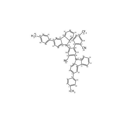 Cc1ccc(-c2ccc3c(c2)c2ccccc2n3-c2cc(-c3ccc(C(F)(F)F)cc3C#N)c(-n3c4ccccc4c4cc(-c5ccc(C)cc5)ccc43)cc2C#N)cc1